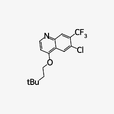 CC(C)(C)CCOc1ccnc2cc(C(F)(F)F)c(Cl)cc12